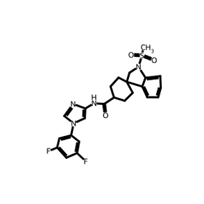 CS(=O)(=O)N1CC2(CCC(C(=O)Nc3cn(-c4cc(F)cc(F)c4)cn3)CC2)c2ccccc21